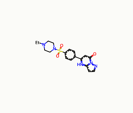 CCN1CCN(S(=O)(=O)c2ccc(-c3cc(=O)n4nccc4[nH]3)cc2)CC1